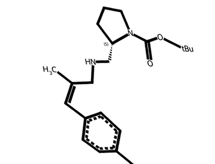 CC(=Cc1ccc(F)cc1)CNC[C@@H]1CCCN1C(=O)OC(C)(C)C